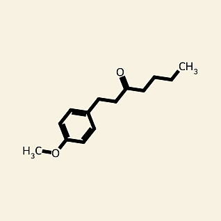 CCCCC(=O)CCc1ccc(OC)cc1